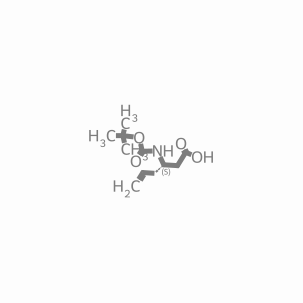 C=CC[C@@H](CC(=O)O)NC(=O)OC(C)(C)C